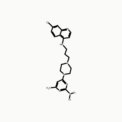 CCN(CC)c1nc(C)cc(N2CCN(CCCNc3ccnc4cc(Cl)ccc34)CC2)n1